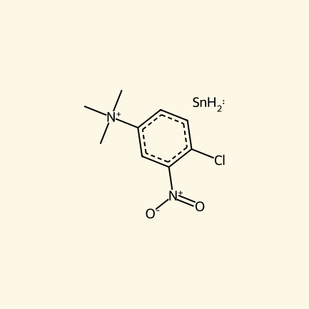 C[N+](C)(C)c1ccc(Cl)c([N+](=O)[O-])c1.[SnH2]